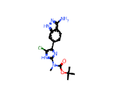 CN(C(=O)OC(C)(C)C)c1nc(-c2ccc3c(N)n[nH]c3c2)c(Cl)[nH]1